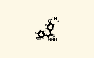 COc1ccc(-c2n[nH]nc2-c2cccc(F)c2)cc1